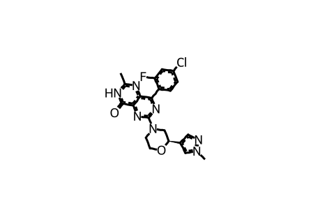 Cc1nc2c(-c3ccc(Cl)cc3F)nc(N3CCO[C@H](c4cnn(C)c4)C3)nc2c(=O)[nH]1